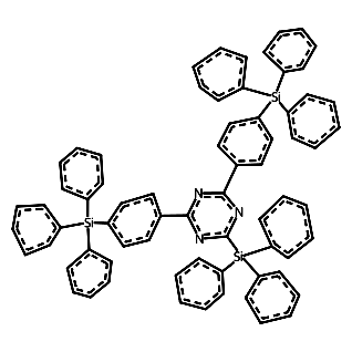 c1ccc([Si](c2ccccc2)(c2ccccc2)c2ccc(-c3nc(-c4ccc([Si](c5ccccc5)(c5ccccc5)c5ccccc5)cc4)nc([Si](c4ccccc4)(c4ccccc4)c4ccccc4)n3)cc2)cc1